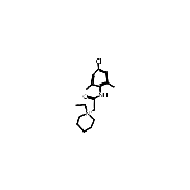 CC[N+]1(CC(=O)Nc2c(C)cc(Cl)cc2C)CCCCC1